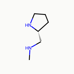 CNC[C@H]1CCCN1